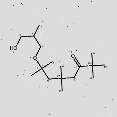 CC(CO)COC(C)(C)CC(C)(C)CC(=O)C(C)(C)C